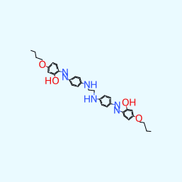 CCCCOc1ccc(/N=N/c2ccc(NCCNc3ccc(/N=N/c4ccc(OCCCC)cc4O)cc3)cc2)c(O)c1